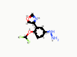 NNc1ccc(OC(F)F)c(-c2cocn2)c1